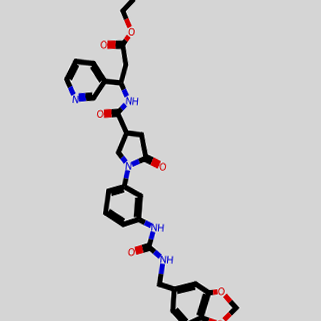 CCOC(=O)CC(NC(=O)C1CC(=O)N(c2cccc(NC(=O)NCc3ccc4c(c3)OCO4)c2)C1)c1cccnc1